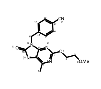 COCCOc1nc(C)c2[nH]c(=O)n(Cc3ccc(C#N)cc3)c2n1